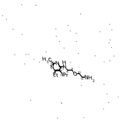 CCc1nc(C)nc(NCCOCCN)c1C(C)C